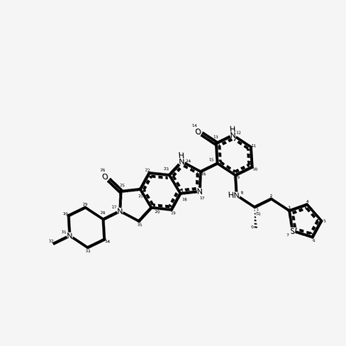 C[C@@H](Cc1cccs1)Nc1cc[nH]c(=O)c1-c1nc2cc3c(cc2[nH]1)C(=O)N(C1CCN(C)CC1)C3